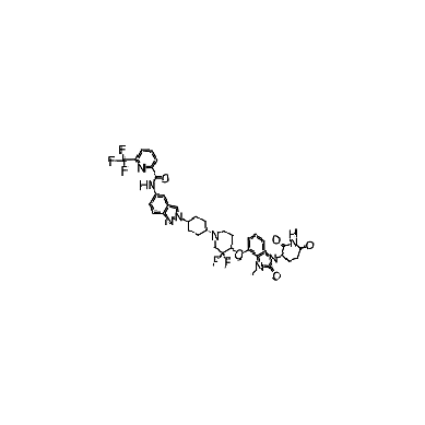 Cn1c(=O)n(C2CCC(=O)NC2=O)c2cccc(OC3CCN([C@H]4CC[C@H](n5cc6cc(NC(=O)c7cccc(C(F)(F)F)n7)ccc6n5)CC4)CC3(F)F)c21